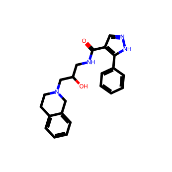 O=C(NCC(O)CN1CCc2ccccc2C1)c1cn[nH]c1-c1ccccc1